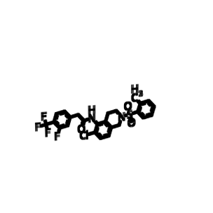 Cc1ccccc1S(=O)(=O)N1CCc2c(ccc(Cl)c2NC(=O)Cc2ccc(C(F)(F)F)c(F)c2)C1